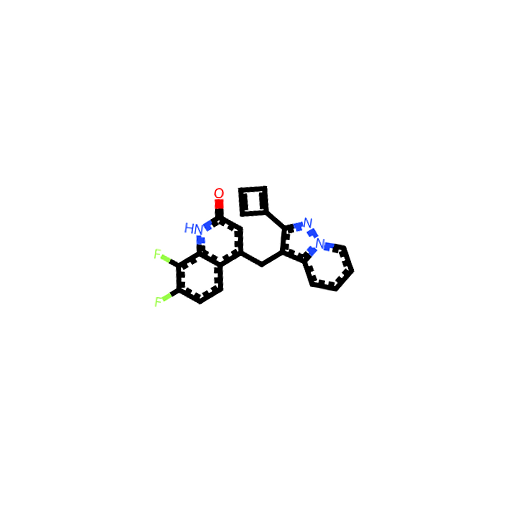 O=c1cc(Cc2c(C3=CC=C3)nn3ccccc23)c2ccc(F)c(F)c2[nH]1